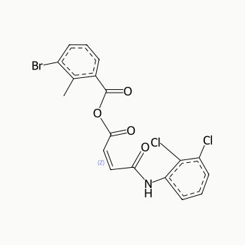 Cc1c(Br)cccc1C(=O)OC(=O)/C=C\C(=O)Nc1cccc(Cl)c1Cl